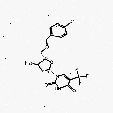 O=c1[nH]c(=O)n([C@@H]2CC(O)[C@H](COCc3ccc(Cl)cc3)O2)cc1C(F)(F)F